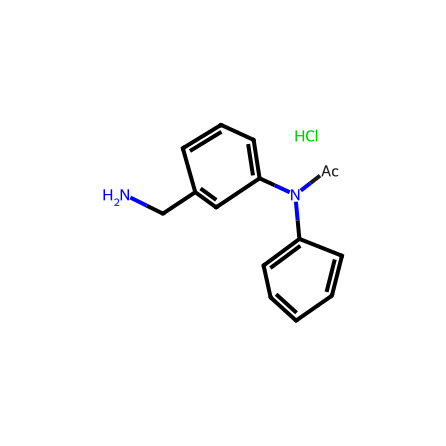 CC(=O)N(c1ccccc1)c1cccc(CN)c1.Cl